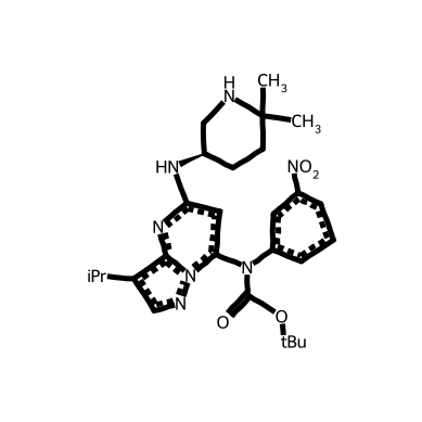 CC(C)c1cnn2c(N(C(=O)OC(C)(C)C)c3cccc([N+](=O)[O-])c3)cc(N[C@@H]3CCC(C)(C)NC3)nc12